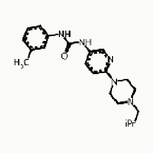 Cc1cccc(NC(=O)Nc2ccc(N3CCN(CC(C)C)CC3)nc2)c1